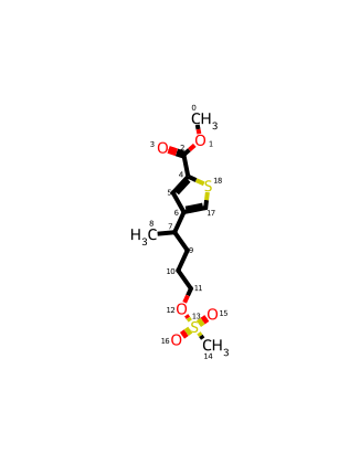 COC(=O)c1cc(C(C)CCCOS(C)(=O)=O)cs1